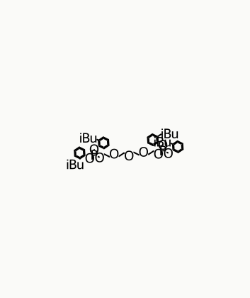 CCC(C)c1ccccc1OP(OCCOCCOCCOCCOP(Oc1ccccc1C(C)CC)Oc1ccccc1C(C)CC)Oc1ccccc1C(C)CC